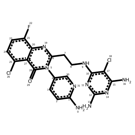 Nc1ccc(-n2c(CCNc3nc(N)nc(N)c3Cl)nc3c(F)ccc(Cl)c3c2=O)cn1